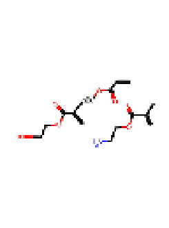 C=C(C)C(=O)OCCN.C=C(C)C(=O)OCCO.C=CC(=O)OCCCC